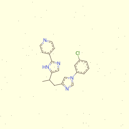 CC(Cc1cn(-c2cccc(Cl)c2)cn1)c1cnc(-c2ccncc2)[nH]1